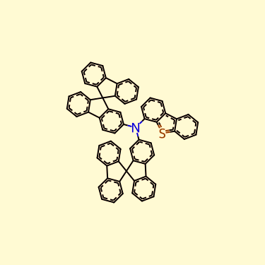 c1ccc2c(c1)-c1ccccc1C21c2ccccc2-c2ccc(N(c3ccc4c(c3)C3(c5ccccc5-c5ccccc53)c3ccccc3-4)c3cccc4c3sc3ccccc34)cc21